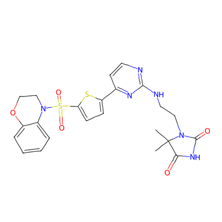 CC1(C)C(=O)NC(=O)N1CCNc1nccc(-c2ccc(S(=O)(=O)N3CCOc4ccccc43)s2)n1